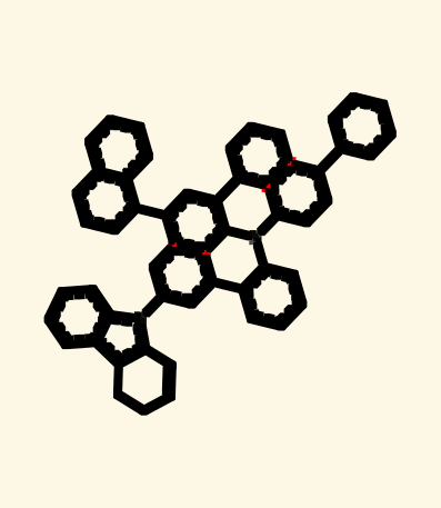 C1=Cc2c(c3ccccc3n2-c2cccc(-c3ccccc3N(c3ccc(-c4ccccc4)cc3)c3ccc(-c4cccc5ccccc45)cc3-c3ccccc3)c2)CC1